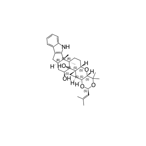 CC(C)=C[C@H]1O[C@H]2[C@H]3C[C@@]34[C@H](CC[C@@]3(C)[C@@]4(O)[C@@H](O)C[C@H]4Cc5c([nH]c6ccccc56)[C@@]43C)O[C@@H]2C(C)(C)O1